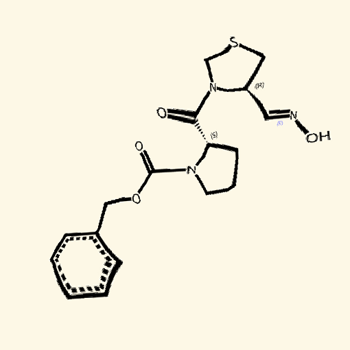 O=C([C@@H]1CCCN1C(=O)OCc1ccccc1)N1CSC[C@H]1/C=N/O